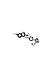 Cn1nnnc1N1CCC(NC(=O)c2cnc3cc(O)ccc3c2)CC1